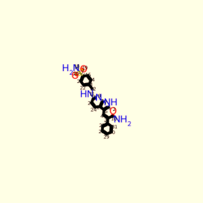 NC(=O)C(=Cc1c[nH]c2nc(NCc3ccc(S(N)(=O)=O)cc3)ccc12)c1ccccc1